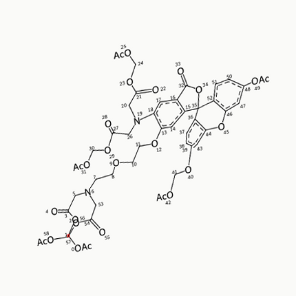 CC(=O)OCOC(=O)CN(CCOCCOc1cc2c(cc1N(CC(=O)OCOC(C)=O)CC(=O)OCOC(C)=O)C(=O)OC21c2ccc(OCOC(C)=O)cc2Oc2cc(OC(C)=O)ccc21)CC(=O)OCOC(C)=O